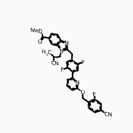 COC(=O)c1ccc2nc(Cc3cc(F)c(-c4cccc(OCc5ccc(C#N)cc5F)n4)cc3F)n(CC(C)C#N)c2c1